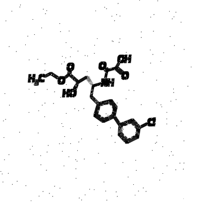 CCOC(=O)[C@H](O)C[C@@H](Cc1ccc(-c2cccc(Cl)c2)cc1)NC(=O)C(=O)O